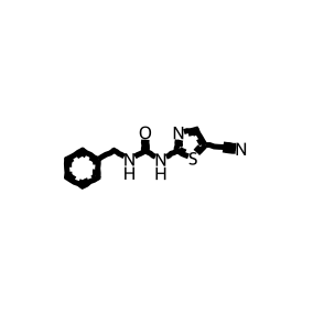 N#Cc1cnc(NC(=O)NCc2ccccc2)s1